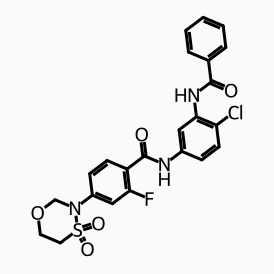 O=C(Nc1cc(NC(=O)c2ccc(N3COCCS3(=O)=O)cc2F)ccc1Cl)c1ccccc1